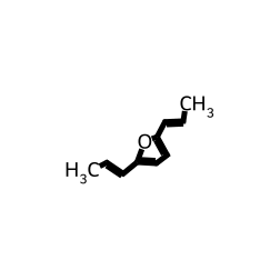 C/C=C/c1ccc(/C=C/C)o1